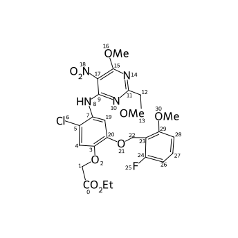 CCOC(=O)COc1cc(Cl)c(Nc2nc(COC)nc(OC)c2[N+](=O)[O-])cc1OCc1c(F)cccc1OC